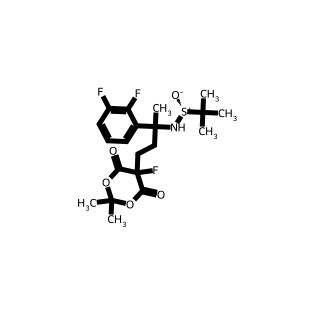 CC1(C)OC(=O)C(F)(CCC(C)(N[S@+]([O-])C(C)(C)C)c2cccc(F)c2F)C(=O)O1